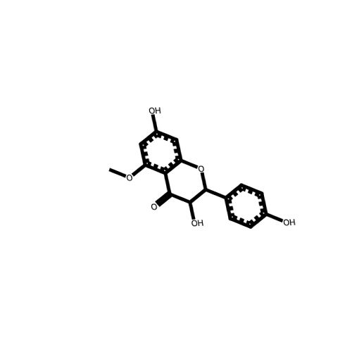 COc1cc(O)cc2c1C(=O)C(O)C(c1ccc(O)cc1)O2